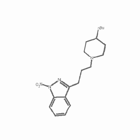 CCCCC1CCN(CCCc2nn([N+](=O)[O-])c3ccccc23)CC1